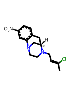 CC(Cl)=CCN1CCN2C[C@@H]1Cc1ccc([N+](=O)[O-])cc12